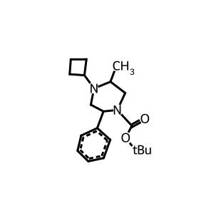 CC1CN(C(=O)OC(C)(C)C)C(c2ccccc2)CN1C1CCC1